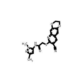 Cc1cc(NC(=O)CSc2nc3cc4c(cc3cc2C#N)OCCO4)n(C)n1